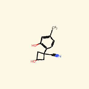 Cc1ccc(C2(C#N)CC(O)C2)c(O)c1